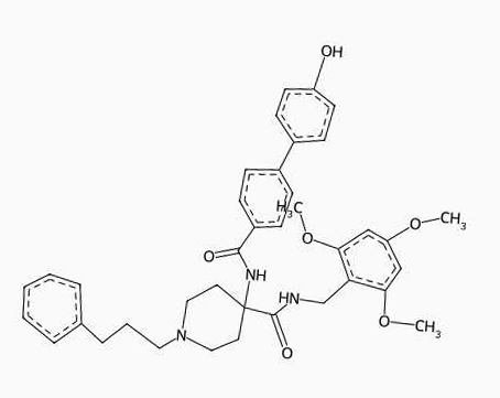 COc1cc(OC)c(CNC(=O)C2(NC(=O)c3ccc(-c4ccc(O)cc4)cc3)CCN(CCCc3ccccc3)CC2)c(OC)c1